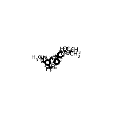 Cn1cc2cc(C(F)(F)F)cc(COCC3(c4ccc(F)cc4)CCN(C(=O)OC(C)(C)C)CC3)c2n1